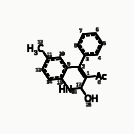 CC(=O)C1=C(c2ccccc2)c2cc(C)ccc2NC1O